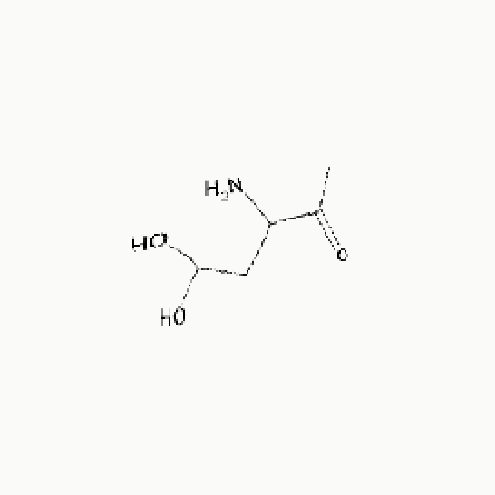 CC(=O)C(N)CC(O)O